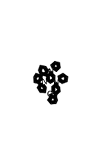 c1ccc(N(c2ccc3c(c2)oc2ccccc23)c2cc(-n3c4ccccc4c4ccccc43)c3c4ccccc4n(-c4ccccc4)c3c2)cc1